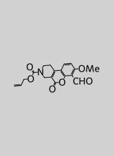 C=CCOC(=O)N1CCc2c(c(=O)oc3c(C=O)c(OC)ccc23)C1